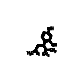 CC(I)CC(c1ccc(O)cc1O)C(C)C